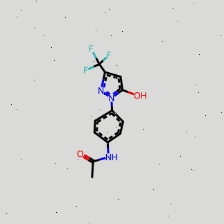 CC(=O)Nc1ccc(-n2nc(C(F)(F)F)cc2O)cc1